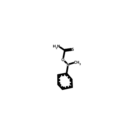 CN(OC(N)=S)c1ccccc1